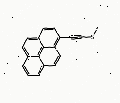 CSC#Cc1ccc2ccc3cccc4ccc1c2c34